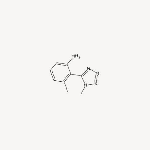 Cc1cccc(N)c1-c1nnnn1C